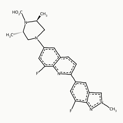 C[C@H]1CN(c2cc(F)c3nc(-c4cc(F)c5nn(C)cc5c4)ccc3c2)C[C@H](C)N1C(=O)O